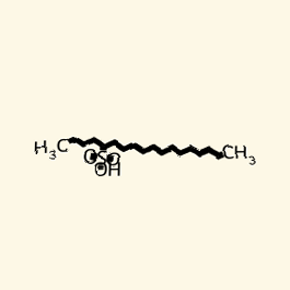 CCCCCCCCCCCCCC(CCCC)S(=O)(=O)O